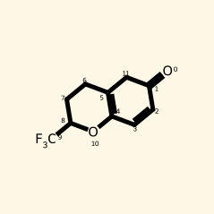 O=C1C=CC2=C(CCC(C(F)(F)F)O2)C1